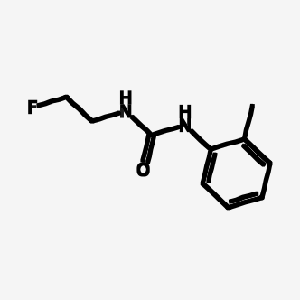 Cc1ccccc1NC(=O)NCCF